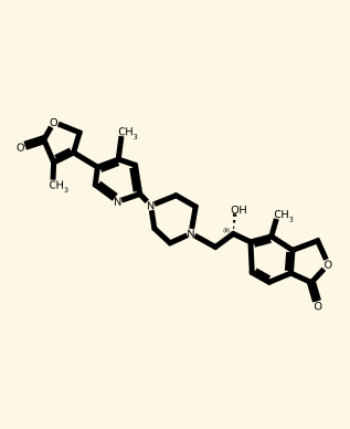 CC1=C(c2cnc(N3CCN(C[C@H](O)c4ccc5c(c4C)COC5=O)CC3)cc2C)COC1=O